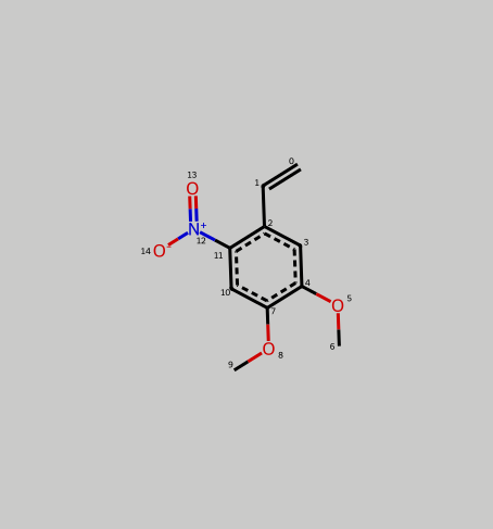 C=Cc1cc(OC)c(OC)cc1[N+](=O)[O-]